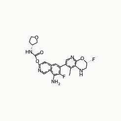 Cc1c(-c2cc3cc(OC(=O)N[C@@H]4CCOC4)ncc3c(N)c2F)cnc2c1NC[C@@H](F)O2